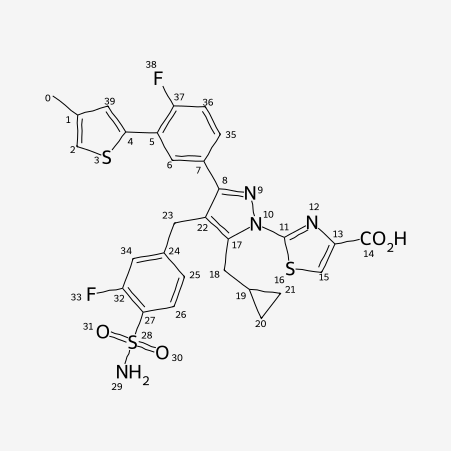 Cc1csc(-c2cc(-c3nn(-c4nc(C(=O)O)cs4)c(CC4CC4)c3Cc3ccc(S(N)(=O)=O)c(F)c3)ccc2F)c1